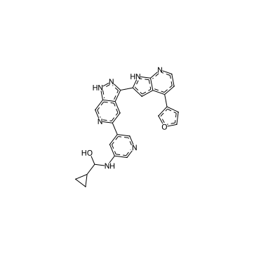 OC(Nc1cncc(-c2cc3c(-c4cc5c(-c6ccoc6)ccnc5[nH]4)n[nH]c3cn2)c1)C1CC1